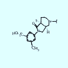 Cc1cc(C(=O)O)cc(N2C[C@@H]3CN(I)CC[C@]3(F)C2=O)c1